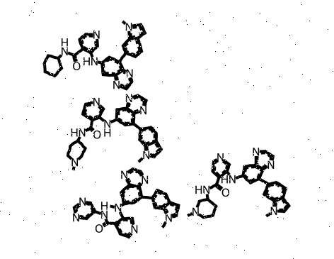 CN(c1cc(-c2ccc3ccn(C)c3c2)c2nccnc2c1)c1cnccc1C(=O)Nc1cncnc1.CN1CCC(NC(=O)c2ccncc2Nc2cc(-c3ccc4ccn(C)c4c3)c3nccnc3c2)CC1.CN1CCCC(NC(=O)c2ccncc2Nc2cc(-c3ccc4ccn(C)c4c3)c3nccnc3c2)C1.Cn1ccc2ccc(-c3cc(Nc4cnccc4C(=O)NC4CCCCC4)cc4nccnc34)cc21